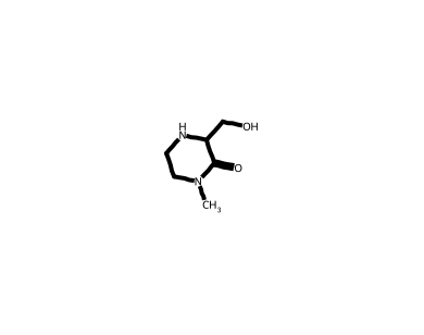 CN1CCNC(CO)C1=O